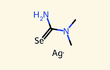 CN(C)C(N)=[Se].[Ag]